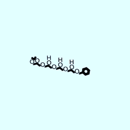 CC1(C)OCC(COCC(O)COCC(O)COCC(O)COCc2ccccc2)O1